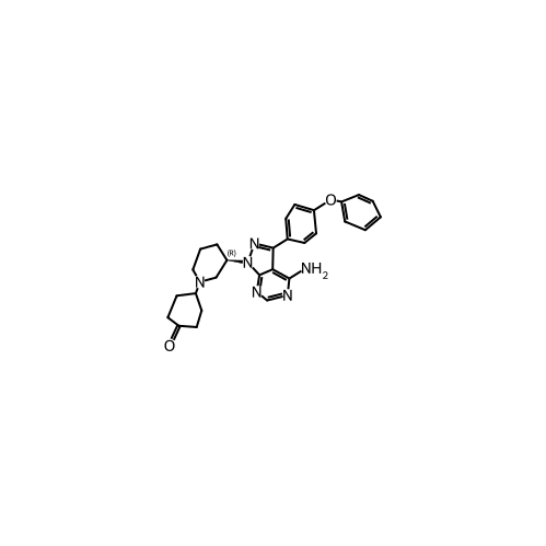 Nc1ncnc2c1c(-c1ccc(Oc3ccccc3)cc1)nn2[C@@H]1CCCN(C2CCC(=O)CC2)C1